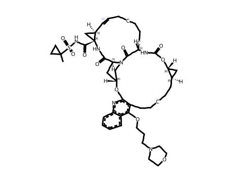 CC1(S(=O)(=O)NC(=O)[C@@]23C[C@H]2/C=C\CCCCC[C@@H]2NC(=O)O[C@@H]4C[C@H]4CCCCCc4c(nc5ccccc5c4OCCCN4CCOCC4)O[C@@H]4C[C@@H](C(=O)N3)N(C4)C2=O)CC1